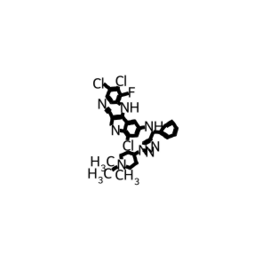 CC(C)(C)N1CCC(n2cc(C(Nc3cc(Cl)c4ncc(C#N)c(Nc5ccc(Cl)c(Cl)c5F)c4c3)c3ccccc3)nn2)CC1